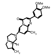 C=C1CCN2CCN(c3cc(C)c4nc(-c5ccc(OC)c(OC)c5)cc(=O)n4c3)C[C@H]12